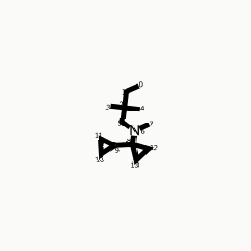 CCC(C)(C)CN(C)C1(C2CC2)CC1